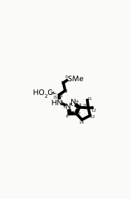 CSCC[C@H](Nn1cc2c(n1)C(C)(C)CC2)C(=O)O